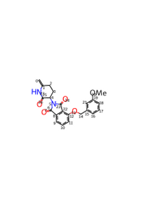 C=C1CCC(N2C(=O)c3cccc(OCc4cccc(OC)c4)c3C2=O)C(=O)N1